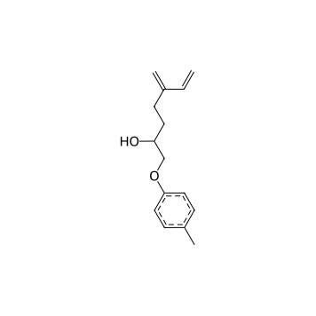 C=CC(=C)CCC(O)COc1ccc(C)cc1